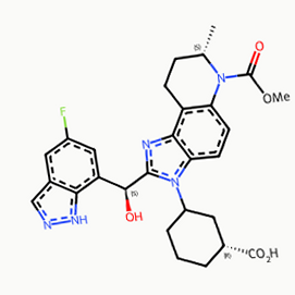 COC(=O)N1c2ccc3c(nc([C@@H](O)c4cc(F)cc5cn[nH]c45)n3C3CCC[C@@H](C(=O)O)C3)c2CC[C@@H]1C